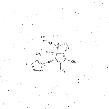 CC1=C(C)C(C)([SiH](C)C)[C]([Ti+2][c]2[nH]ccc2C)=C1C.[Cl-].[Cl-]